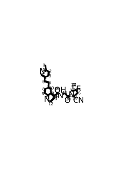 Cc1ccc(/C=C/c2ccc3nccc(C(O)NCC(=O)N4CC(F)(F)C[C@H]4C#N)c3c2)cn1